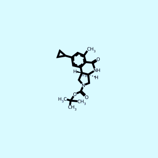 Cc1cc(C2CC2)cc2c1C(=O)N[C@H]1CN(C(=O)OC(C)(C)C)C[C@H]21